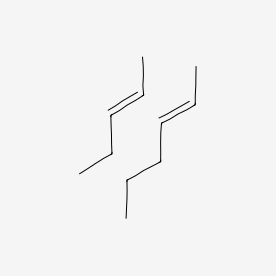 CC=CCC.CC=CCCC